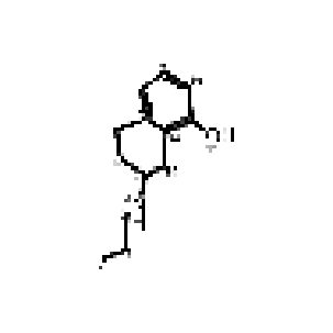 CCCNC1CCc2cccc(O)c2C1